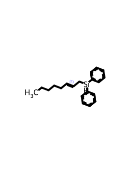 CCCCC/C=C/C[SiH](c1ccccc1)c1ccccc1